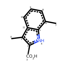 Cc1c(C(=O)O)[nH]c2c(C)cccc12